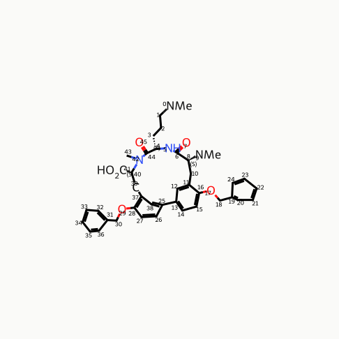 CNCCC[C@@H]1NC(=O)[C@@H](NC)Cc2cc(ccc2OCc2ccccc2)-c2ccc(OCc3ccccc3)c(c2)C[C@@H](C(=O)O)N(C)C1=O